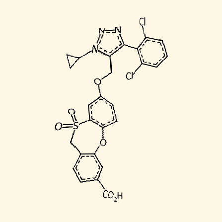 O=C(O)c1ccc2c(c1)Oc1ccc(OCc3c(-c4c(Cl)cccc4Cl)nnn3C3CC3)cc1S(=O)(=O)C2